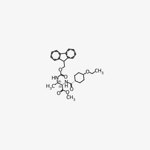 CCO[C@H]1CC[C@H](C(=O)N[C@H](C(=O)OC)[C@@H](C)NC(=O)OCC2c3ccccc3-c3ccccc32)CC1